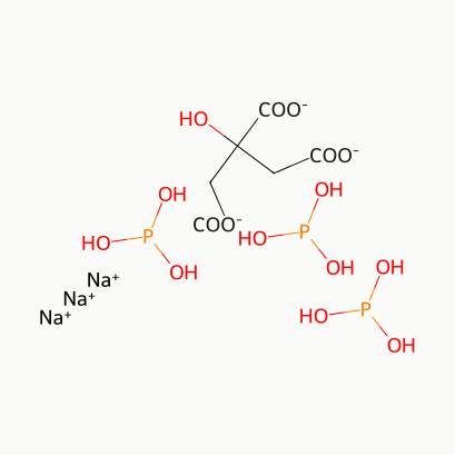 O=C([O-])CC(O)(CC(=O)[O-])C(=O)[O-].OP(O)O.OP(O)O.OP(O)O.[Na+].[Na+].[Na+]